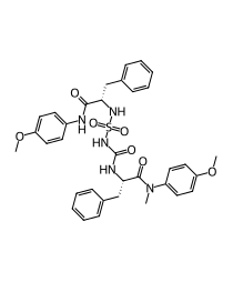 COc1ccc(NC(=O)[C@H](Cc2ccccc2)NS(=O)(=O)NC(=O)N[C@@H](Cc2ccccc2)C(=O)N(C)c2ccc(OC)cc2)cc1